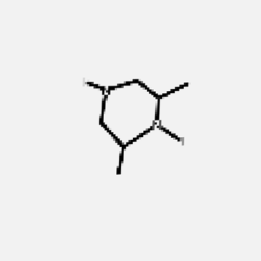 CC1CN(I)CC(C)N1I